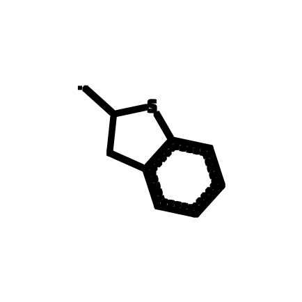 [CH2]C1Cc2ccccc2S1